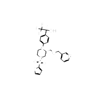 C[C@](O)(c1ccc(N2CCN(S(=O)(=O)c3cccs3)C[C@@H]2COCc2cccnc2)cc1)C(F)(F)F